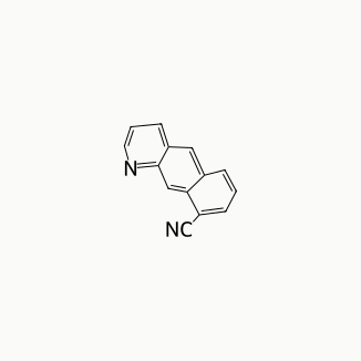 N#Cc1cccc2cc3cccnc3cc12